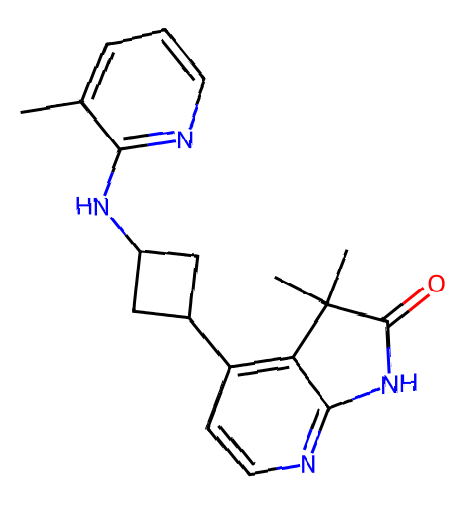 Cc1cccnc1NC1CC(c2ccnc3c2C(C)(C)C(=O)N3)C1